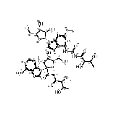 CC(O)C(N)C(=O)NC(=O)[C@@]1(n2cnc3c(N)ncnc32)O[C@H](CO)[C@@H](O)[C@H]1O.CSc1nc(NC(=O)NC(=O)C(N)C(C)O)c2ncn([C@@H]3O[C@H](CO)[C@@H](O)[C@H]3O)c2n1